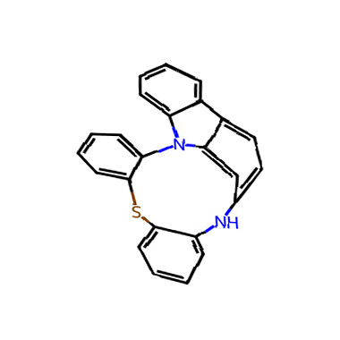 c1ccc2c(c1)Nc1ccc3c4ccccc4n(c3c1)-c1ccccc1S2